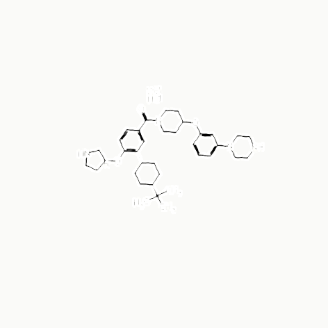 CC(C)(C)[C@H]1CC[C@H](c2cc(C(=O)N3CCC(Oc4cccc(N5CCNCC5)c4)CC3)ccc2O[C@H]2CCNC2)CC1.Cl.Cl